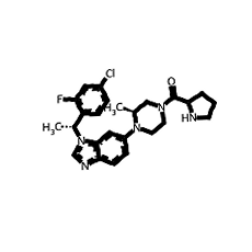 C[C@H](c1ccc(Cl)cc1F)n1cnc2ccc(N3CCN(C(=O)C4CCCN4)C[C@@H]3C)cc21